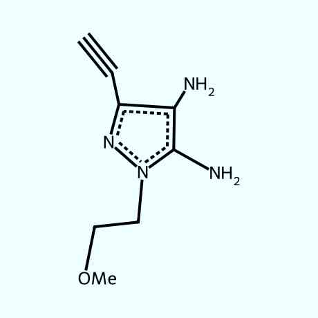 C#Cc1nn(CCOC)c(N)c1N